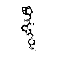 NC1CCN(Cc2cn3c(C(=O)NCC45CC6CC7CC(C4)C7(C6)C5)cccc3n2)CC1